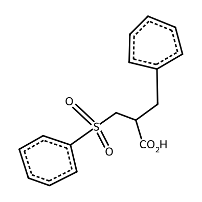 O=C(O)C(Cc1ccccc1)CS(=O)(=O)c1ccccc1